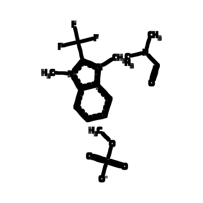 CN(C)C=O.COS(=O)(=O)[O-].Cn1c(C(F)(F)F)[n+](C)c2ccccc21